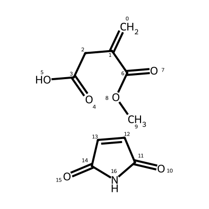 C=C(CC(=O)O)C(=O)OC.O=C1C=CC(=O)N1